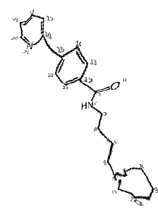 O=C(NCCCCN1CCCC1)c1ccc(-c2ccccn2)cc1